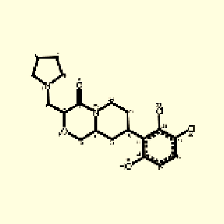 O=C1C(CN2CCCC2)OCC2CC(c3c(O)ccc(Cl)c3Cl)CCN12